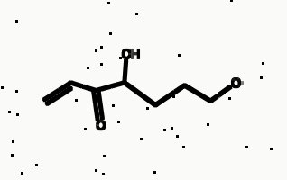 C=CC(=O)C(O)CCC[O]